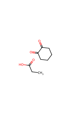 CCC(=O)O.O=C1CCCCC1=O